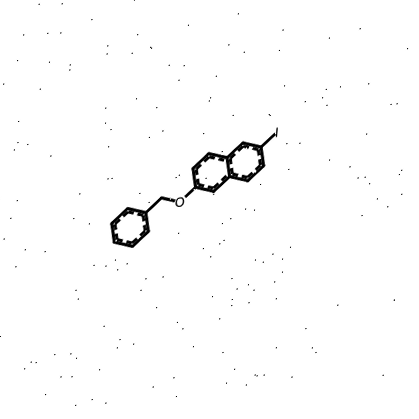 Ic1ccc2[c]c(OCc3ccccc3)ccc2c1